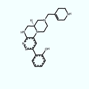 Oc1ccccc1-c1cc2c(nn1)NC[C@H]1CN(CC3=CCNCC3)CCN21